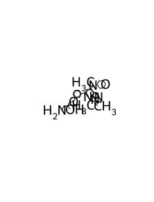 CC(C)n1ncc2c(N(C)C3CCOCC3)cc(-c3cccc(OCC(O)CN)c3)nc21